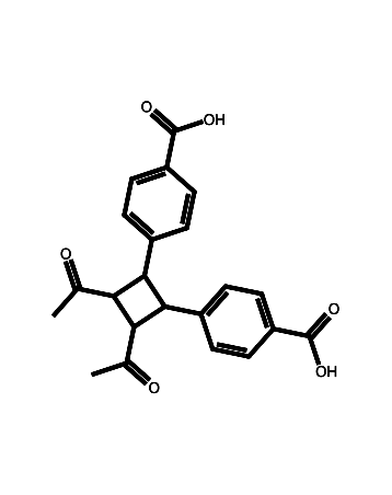 CC(=O)C1C(C(C)=O)C(c2ccc(C(=O)O)cc2)C1c1ccc(C(=O)O)cc1